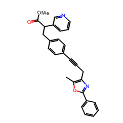 COC(=O)C(Cc1ccc(C#CCc2nc(-c3ccccc3)oc2C)cc1)c1cccnc1